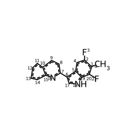 Cc1c(F)cc2c(-c3ccc4ccccc4n3)c[nH]c2c1F